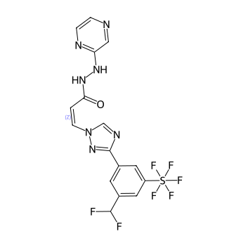 O=C(/C=C\n1cnc(-c2cc(C(F)F)cc(S(F)(F)(F)(F)F)c2)n1)NNc1cnccn1